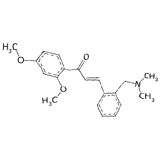 COc1ccc(C(=O)C=Cc2ccccc2CN(C)C)c(OC)c1